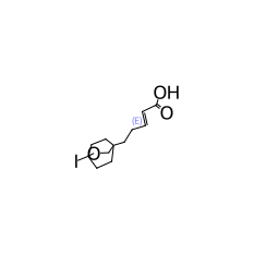 O=C(O)/C=C/CCC12CCC(I)(CC1)OC2